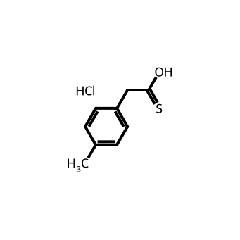 Cc1ccc(CC(O)=S)cc1.Cl